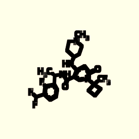 C[C@@H](NC(=O)c1cn(C2(C(F)(F)F)CCC2)c(=O)cc1NC1CCN(C)CC1)c1cccc(C(F)F)c1F